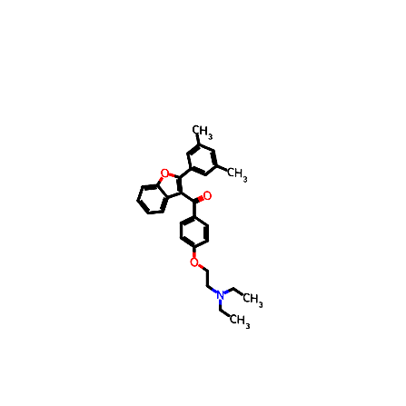 CCN(CC)CCOc1ccc(C(=O)c2c(-c3cc(C)cc(C)c3)oc3ccccc23)cc1